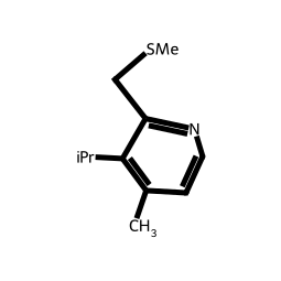 CSCc1nccc(C)c1C(C)C